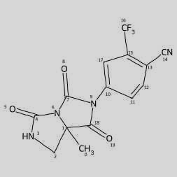 CC12CNC(=O)N1C(=O)N(c1ccc(C#N)c(C(F)(F)F)c1)C2=O